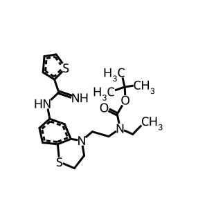 CCN(CCN1CCSc2ccc(NC(=N)c3cccs3)cc21)C(=O)OC(C)(C)C